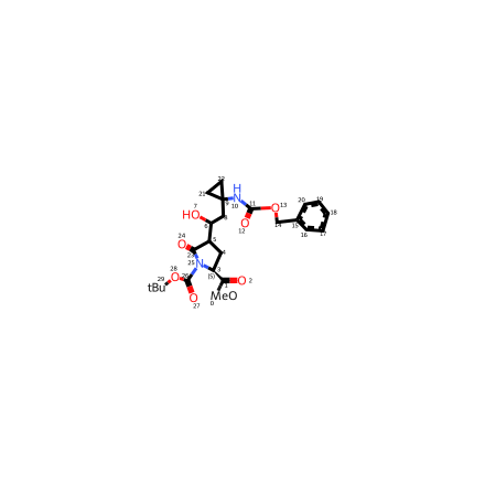 COC(=O)[C@@H]1CC(C(O)CC2(NC(=O)OCc3ccccc3)CC2)C(=O)N1C(=O)OC(C)(C)C